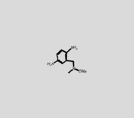 CON(C)Cc1cc(N)ccc1N